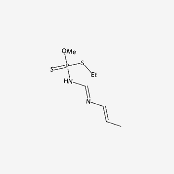 CC=CN=CNP(=S)(OC)SCC